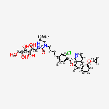 COCCN(CCCCc1cc(Cl)c(COC2(c3cnccc3-c3ccccc3OC3CC3)CC2)cc1C)C(=O)NC[C@H](O)[C@@H](O)[C@H](O)[C@H](O)CO